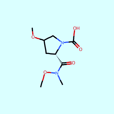 COC1C[C@@H](C(=O)N(C)OC)N(C(=O)O)C1